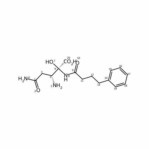 NC(=O)C[C@@H](N)[C@@](O)(NC(=O)CCCc1ccccc1)C(=O)O